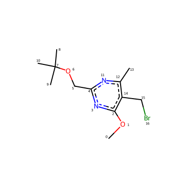 COc1nc(COC(C)(C)C)nc(C)c1CBr